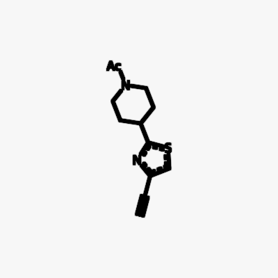 C#Cc1csc(C2CCN(C(C)=O)CC2)n1